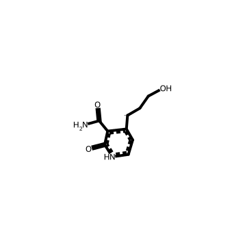 NC(=O)c1c([CH]CCO)cc[nH]c1=O